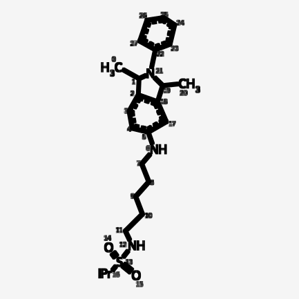 CC1c2ccc(NCCCCCNS(=O)(=O)C(C)C)cc2C(C)N1c1ccccc1